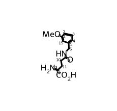 COc1cccc(CNC(=O)CCC(N)C(=O)O)c1